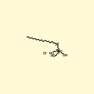 CCCCCCCCCCCCCCCCCC[N+](C)(C)CCC[Si](OCCO)(OCCO)OCCO.[Cl-]